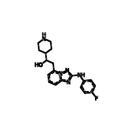 OC(Cc1cccc2nc(Nc3ccc(F)cc3)nn12)C1CCNCC1